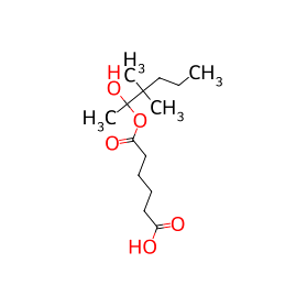 CCCC(C)(C)C(C)(O)OC(=O)CCCCC(=O)O